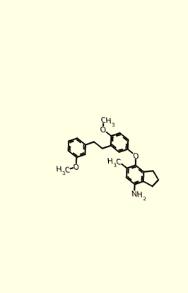 COc1cccc(CCc2cc(Oc3c(C)cc(N)c4c3CCC4)ccc2OC)c1